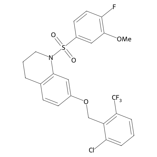 COc1cc(S(=O)(=O)N2CCCc3ccc(OCc4c(Cl)cccc4C(F)(F)F)cc32)ccc1F